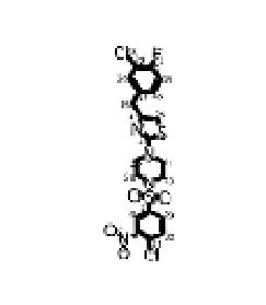 O=[N+]([O-])c1cc(S(=O)(=O)N2CCN(c3nc(Cc4ccc(F)c(Cl)c4)cs3)CC2)ccc1Cl